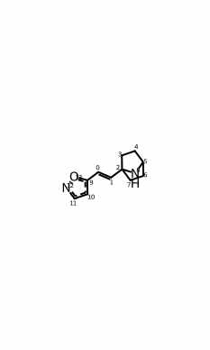 C(=C\C12CCC(CC1)N2)/c1ccno1